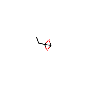 CCC12OC1O2